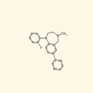 CN1CCN(c2ccccc2F)c2ccc(-c3cnccn3)cc2C1